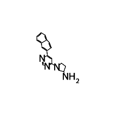 NC1CCN(c2cc(-c3ccc4ccccc4c3)ncn2)C1